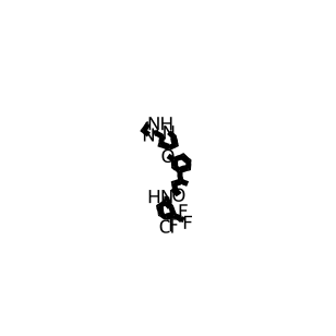 C/C(=C\C(=O)Nc1ccc(Cl)c(C(F)(F)F)c1)c1cccc(Oc2ccnc(C3=NCCN3)c2)c1